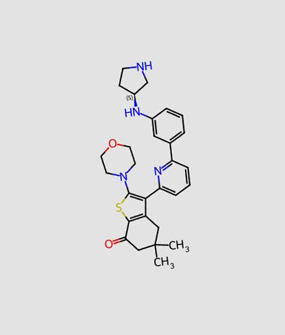 CC1(C)CC(=O)c2sc(N3CCOCC3)c(-c3cccc(-c4cccc(N[C@H]5CCNC5)c4)n3)c2C1